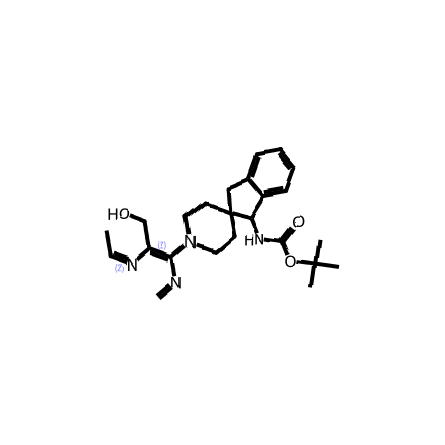 C=N/C(=C(CO)\N=C/C)N1CCC2(CC1)Cc1ccccc1C2NC(=O)OC(C)(C)C